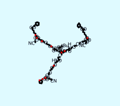 CC(C)(C)OC(=O)NNC(COCCC(=O)NCCOCCOCCOCCOP(=O)(OCCC#N)OCCCCCC(=O)OCc1ccccc1)(COCCC(=O)NCCOCCOCCOCCOP(=O)(OCCC#N)OCCCCCC(=O)OCc1ccccc1)COCCC(=O)NCCOCCOCCOCCOP(=O)(OCCC#N)OOCc1ccccc1